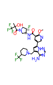 COc1ncc(-c2cc(CN3CCCC(C(F)(F)F)C3)c3c(N)ncnn23)cc1C(=O)N[C@@H]1CN(C(=O)C(C)(O)C(F)(F)F)C[C@@H]1F